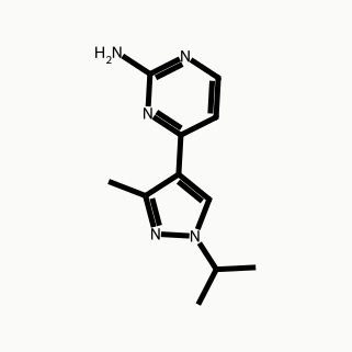 Cc1nn(C(C)C)cc1-c1ccnc(N)n1